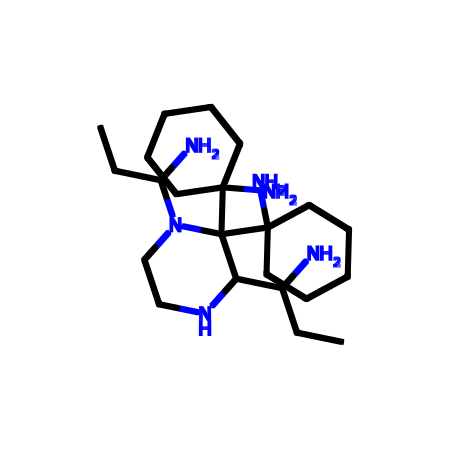 CCC(N)C1NCCN(C(N)CC)C1(C1(N)CCCCC1)C1(N)CCCCC1